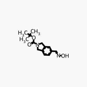 CC(C)(C)OC(=O)N1Cc2ccc(C=NO)cc2C1